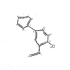 O=Nc1cc(-c2ccccc2)nnc1Cl